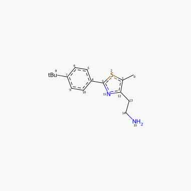 Cc1sc(-c2ccc(C(C)(C)C)cc2)nc1CCN